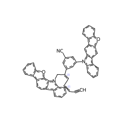 C#C/C=C\C=C(/Cn1c2ccccc2c2ccc3c4ccccc4oc3c21)c1cc(C#N)cc(-n2c3ccccc3c3cc4oc5ccccc5c4cc32)c1